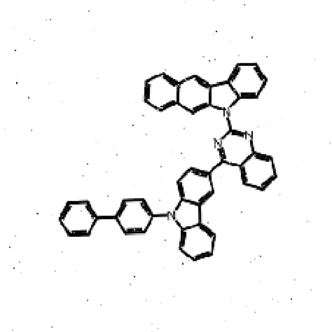 c1ccc(-c2ccc(-n3c4ccccc4c4cc(-c5nc(-n6c7ccccc7c7cc8ccccc8cc76)nc6ccccc56)ccc43)cc2)cc1